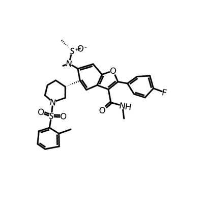 CNC(=O)c1c(-c2ccc(F)cc2)oc2cc(N(C)[S@+](C)[O-])c([C@H]3CCCN(S(=O)(=O)c4ccccc4C)C3)cc12